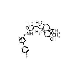 C=C1CC[C@@H]2C(C)(C)[C@H](O)CC[C@@]2(C)[C@@H]1CCC(C)=CC(=O)NCc1cc(-c2ccc(F)cc2)no1